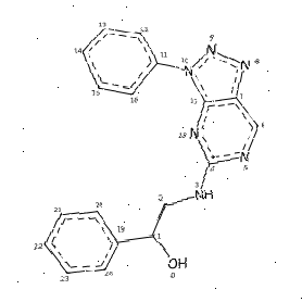 OC(CNc1ncc2nnn(-c3ccccc3)c2n1)c1ccccc1